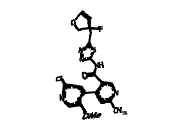 COc1cnc(Cl)cc1-c1cc(C)ncc1C(=O)Nc1nnc(C2(F)CCOC2)s1